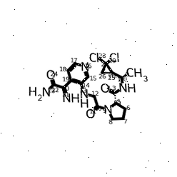 C[C@@H](NC(=O)[C@@H]1CCCN1C(=O)CNc1cnccc1C(=N)C(N)=O)[C@H]1CC1(Cl)Cl